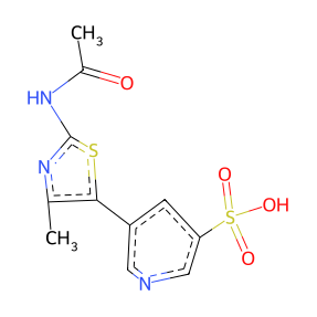 CC(=O)Nc1nc(C)c(-c2cncc(S(=O)(=O)O)c2)s1